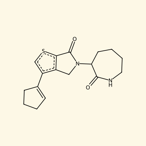 O=C1NCCCCC1N1Cc2c(C3=CCCC3)csc2C1=O